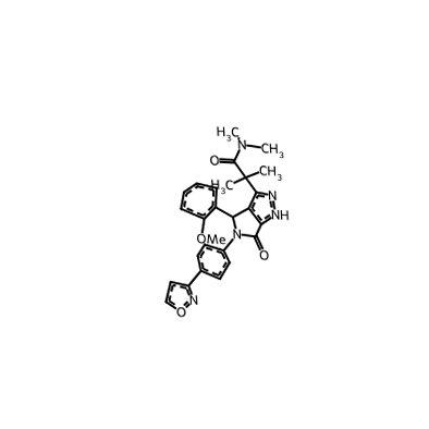 COc1ccccc1C1c2c(C(C)(C)C(=O)N(C)C)n[nH]c2C(=O)N1c1ccc(-c2ccon2)cc1